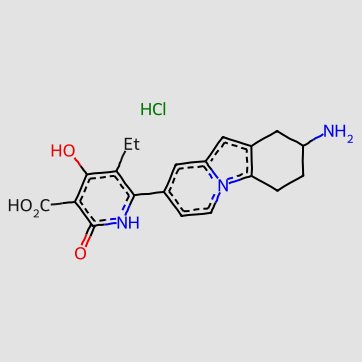 CCc1c(-c2ccn3c4c(cc3c2)CC(N)CC4)[nH]c(=O)c(C(=O)O)c1O.Cl